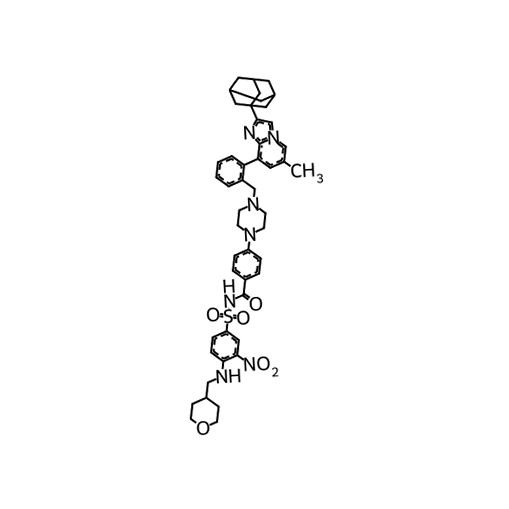 Cc1cc(-c2ccccc2CN2CCN(c3ccc(C(=O)NS(=O)(=O)c4ccc(NCC5CCOCC5)c([N+](=O)[O-])c4)cc3)CC2)c2nc(C34CC5CC(CC(C5)C3)C4)cn2c1